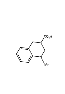 CCCN1CC(C(=O)O)Cc2ccccc21